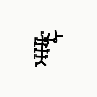 CC(C)O[Si](C)(C)C(F)(F)C(F)(F)C(F)(F)C(F)(F)C(C)F